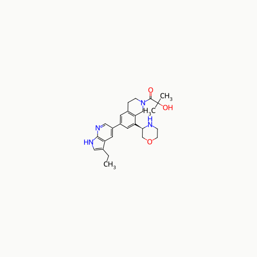 CCc1c[nH]c2ncc(-c3cc4c(c([C@@H]5COCCN5)c3)CN(C(=O)C(C)(C)O)CC4)cc12